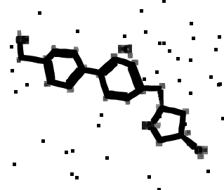 Cl.OCc1ccc(-c2ccc(C[C@@H]3C[C@@H](O)CN3)cc2)cc1